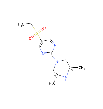 CCS(=O)(=O)c1cnc(N2C[C@@H](C)N[C@H](C)C2)nc1